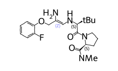 CNC(=O)[C@@H]1CCCN1C(=O)[C@@H](N/C=C(\N)COc1ccccc1F)C(C)(C)C